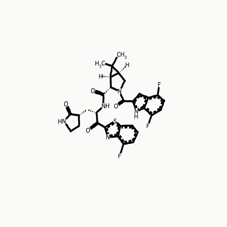 CC1(C)[C@@H]2[C@@H](C(=O)N[C@@H](C[C@@H]3CCNC3=O)C(=O)c3nc4c(F)cccc4s3)N(C(=O)c3cc4c(F)ccc(F)c4[nH]3)C[C@@H]21